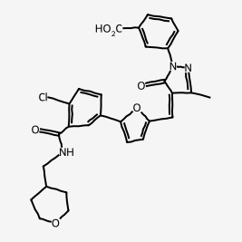 CC1=NN(c2cccc(C(=O)O)c2)C(=O)/C1=C\c1ccc(-c2ccc(Cl)c(C(=O)NCC3CCOCC3)c2)o1